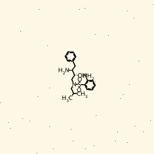 CC(C)CN(C[C@@H](O)[C@@H](N)Cc1ccccc1)S(=O)(=O)c1ccccc1N